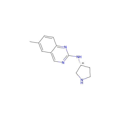 Cc1ccc2nc(N[C@@H]3CCNC3)ncc2c1